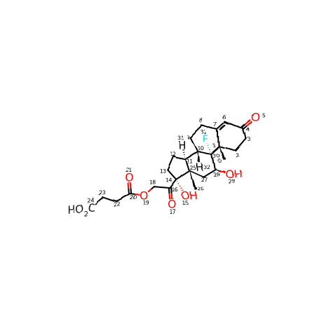 C[C@]12CCC(=O)C=C1CC[C@H]1[C@@H]3CC[C@](O)(C(=O)COC(=O)CCC(=O)O)[C@@]3(C)C[C@H](O)[C@@]12F